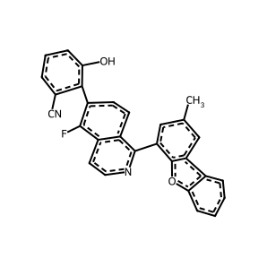 Cc1cc(-c2nccc3c(F)c(-c4c(O)cccc4C#N)ccc23)c2oc3ccccc3c2c1